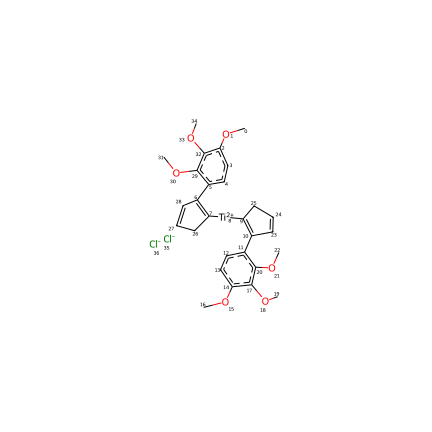 COc1ccc(C2=[C]([Ti+2][C]3=C(c4ccc(OC)c(OC)c4OC)C=CC3)CC=C2)c(OC)c1OC.[Cl-].[Cl-]